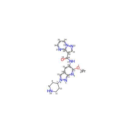 CC(C)Oc1nc2nn(C3CCNCC3)cc2cc1NC(=O)c1cnn2cccnc12